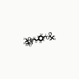 CC(C)(C)C(=O)OCc1ccc(C=CB2OC(C)(C)C(C)(C)O2)cc1